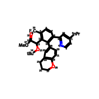 CCCc1ccnc(-c2ccc(C(F)(F)F)c(C(OC(C)(C)C)C(=O)OC)c2-c2ccc3c(c2)CCCO3)c1